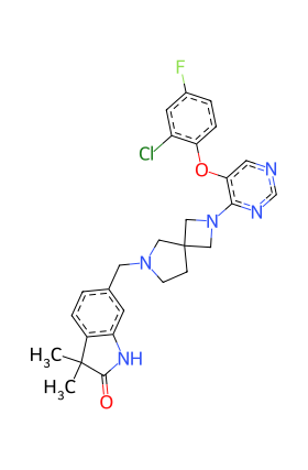 CC1(C)C(=O)Nc2cc(CN3CCC4(C3)CN(c3ncncc3Oc3ccc(F)cc3Cl)C4)ccc21